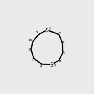 C1CCSCCCCSCC1